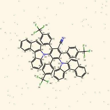 N#Cc1c(-c2ccc(C(F)(F)F)cc2)c(-n2c3ccccc3c3c4ccccc4ccc32)c(-c2ccc(C(F)(F)F)cc2)c(-n2c3ccccc3c3c4ccccc4ccc32)c1-c1ccc(C(F)(F)F)cc1